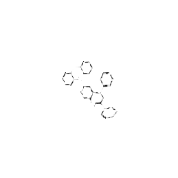 c1ccc(-c2cc(-c3ccccc3)c3cc(N4c5ccccc5Oc5ccccc54)ccc3n2)cc1